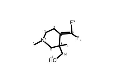 CN1CCC(=C(F)F)C(C)(CO)C1